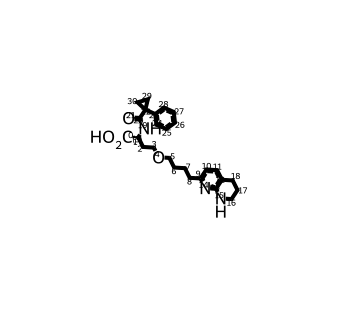 O=C(O)[C@H](CCOCCCCc1ccc2c(n1)NCCC2)NC(=O)C1(c2ccccc2)CC1